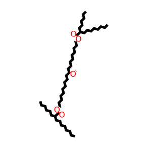 CCCCCCCCC(CCCCCC)C(=O)OCCCCCCCCCCC(CCCCCCCCCOC(=O)C(CCCCCC)CCCCCCCC)OC